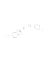 Fc1ccc(CN2CC=C(c3nc4cc(Cl)ccc4o3)CC2)cc1